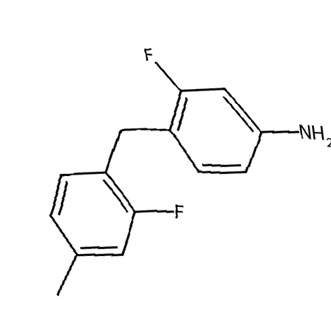 Cc1ccc(Cc2ccc(N)cc2F)c(F)c1